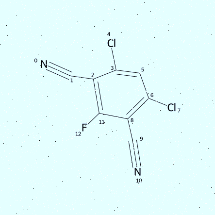 N#Cc1c(Cl)cc(Cl)c(C#N)c1F